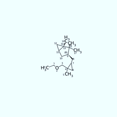 CCOCC1(C)CC1C[C@H]1CC2C[C@]2(C)C1(C)C